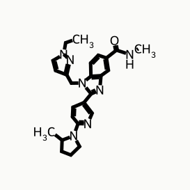 CCn1ccc(Cn2c(-c3ccc(N4CCCC4C)nc3)nc3cc(C(=O)NC)ccc32)n1